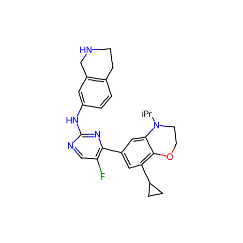 CC(C)N1CCOc2c(C3CC3)cc(-c3nc(Nc4ccc5c(c4)CNCC5)ncc3F)cc21